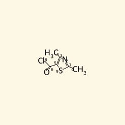 Cc1nc(C)c(C(=O)Cl)s1